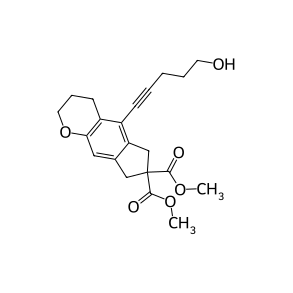 COC(=O)C1(C(=O)OC)Cc2cc3c(c(C#CCCCO)c2C1)CCCO3